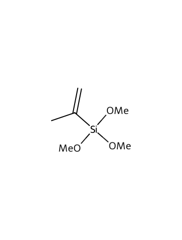 C=C(C)[Si](OC)(OC)OC